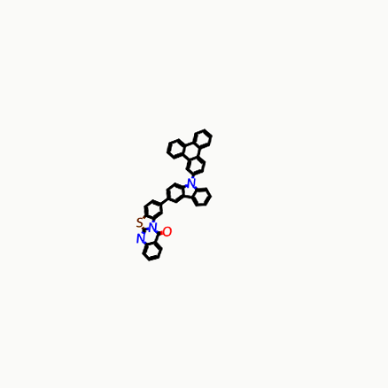 O=c1c2ccccc2nc2sc3ccc(-c4ccc5c(c4)c4ccccc4n5-c4ccc5c6ccccc6c6ccccc6c5c4)cc3n12